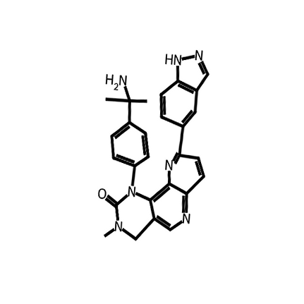 CN1Cc2cnc3ccc(-c4ccc5[nH]ncc5c4)nc3c2N(c2ccc(C(C)(C)N)cc2)C1=O